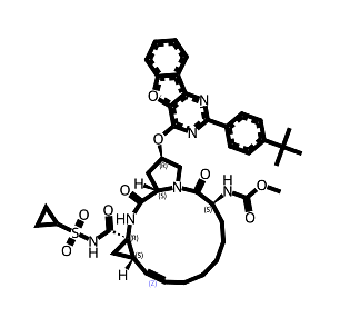 COC(=O)N[C@H]1CCCCC/C=C\[C@@H]2C[C@@]2(C(=O)NS(=O)(=O)C2CC2)NC(=O)[C@@H]2C[C@@H](Oc3nc(-c4ccc(C(C)(C)C)cc4)nc4c3oc3ccccc34)CN2C1=O